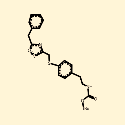 CC(C)(C)OC(=O)NCCc1ccc(SCc2noc(Cc3ccccc3)n2)cc1